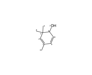 CC1=CC(C)(C)C(O)C=C1